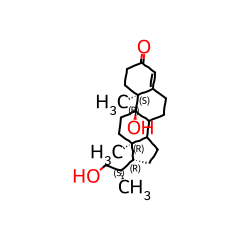 C[C@H](CO)[C@H]1CCC2C3CCC4=CC(=O)CC[C@]4(C)[C@@]3(O)CC[C@@]21C